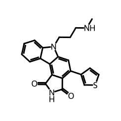 CNCCCn1c2ccccc2c2c3c(c(-c4ccsc4)cc21)C(=O)NC3=O